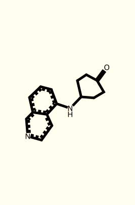 O=C1CCC(Nc2cccc3cnccc23)CC1